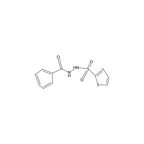 O=C(NNS(=O)(=O)c1cccs1)c1ccccc1